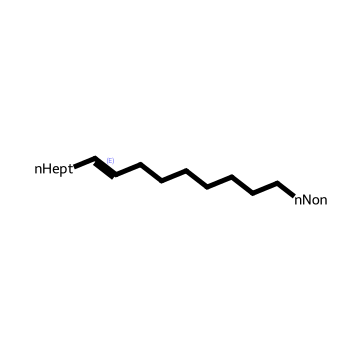 CCCCCCC/C=C/CCCCCCCCCCCCCCCC